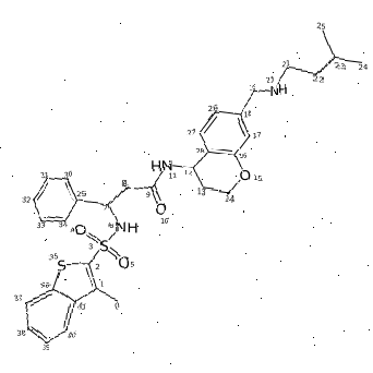 Cc1c(S(=O)(=O)NC(CC(=O)NC2CCOc3cc(CNCCC(C)C)ccc32)c2ccccc2)sc2ccccc12